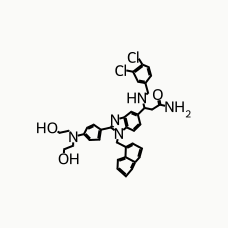 NC(=O)CC(NCc1ccc(Cl)c(Cl)c1)c1ccc2c(c1)nc(-c1ccc(N(CCO)CCO)cc1)n2Cc1cccc2ccccc12